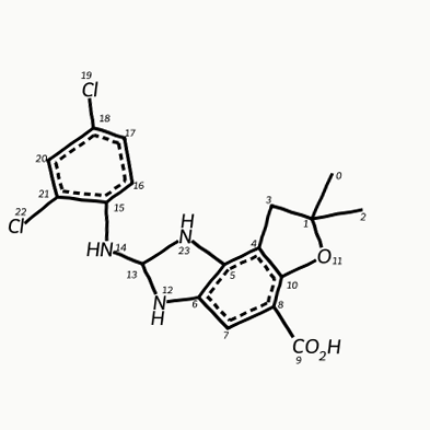 CC1(C)Cc2c3c(cc(C(=O)O)c2O1)NC(Nc1ccc(Cl)cc1Cl)N3